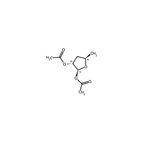 CC(=O)O[C@@H]1O[C@H](C)C[C@H]1OC(C)=O